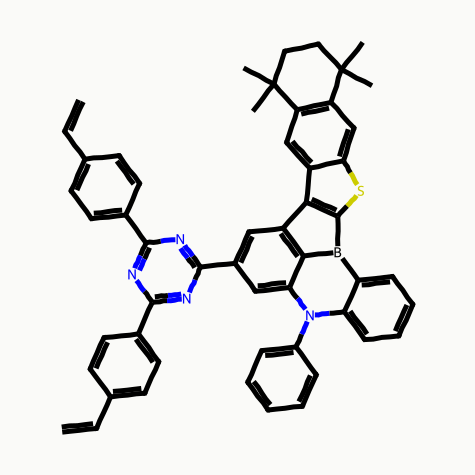 C=Cc1ccc(-c2nc(-c3ccc(C=C)cc3)nc(-c3cc4c5c(c3)N(c3ccccc3)c3ccccc3B5c3sc5cc6c(cc5c3-4)C(C)(C)CCC6(C)C)n2)cc1